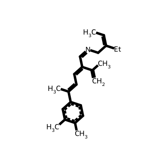 C=C(C)C(/C=N\C/C(=C\C)CC)=C\C=C(/C)c1ccc(C)c(C)c1